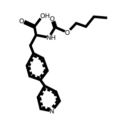 CCCCOC(=O)NC(Cc1ccc(-c2ccncc2)cc1)C(=O)O